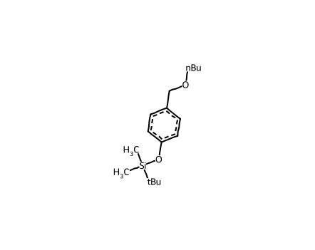 CCCCOCc1ccc(O[Si](C)(C)C(C)(C)C)cc1